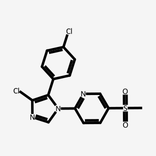 CS(=O)(=O)c1ccc(-n2cnc(Cl)c2-c2ccc(Cl)cc2)nc1